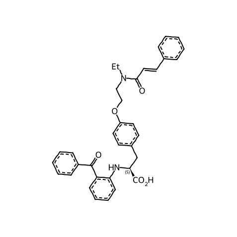 CCN(CCOc1ccc(C[C@H](Nc2ccccc2C(=O)c2ccccc2)C(=O)O)cc1)C(=O)C=Cc1ccccc1